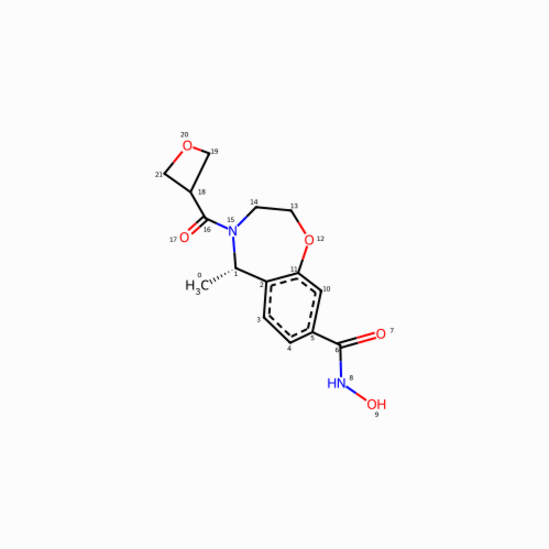 C[C@H]1c2ccc(C(=O)NO)cc2OCCN1C(=O)C1COC1